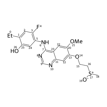 CCc1cc(F)c(Nc2ncnc3cc(OCC[S+](C)[O-])c(OC)cc23)cc1O